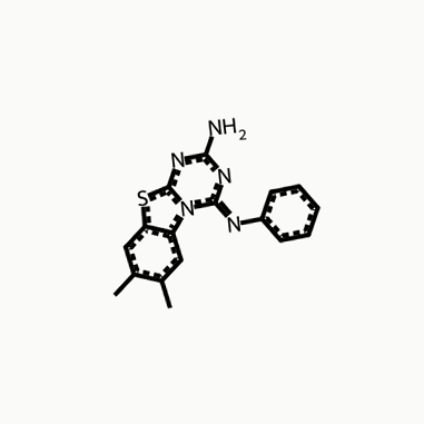 Cc1cc2sc3nc(N)n/c(=N\c4ccccc4)n3c2cc1C